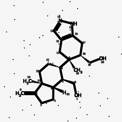 C=C1CC[C@H]2[C@H](CO)[C@@H]([C@@]3(C)Cc4cn[nH]c4C[C@@H]3CO)CC[C@]12C